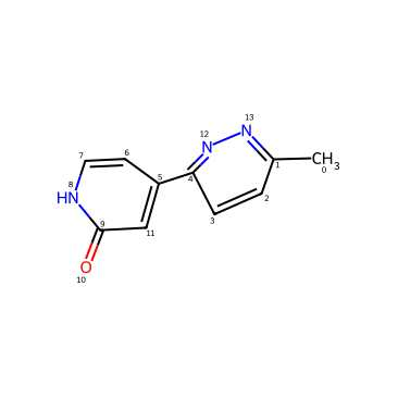 Cc1ccc(-c2cc[nH]c(=O)c2)nn1